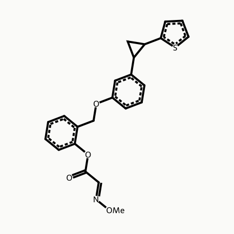 CON=CC(=O)Oc1ccccc1COc1cccc(C2CC2c2cccs2)c1